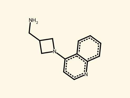 NCC1CN(c2ccnc3ccccc23)C1